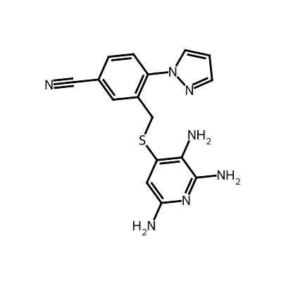 N#Cc1ccc(-n2cccn2)c(CSc2cc(N)nc(N)c2N)c1